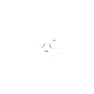 CC(N)Nc1ccc(OC(C)O)cc1[N+](=O)[O-]